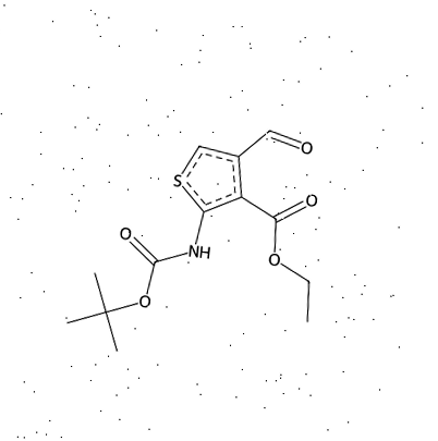 CCOC(=O)c1c(C=O)csc1NC(=O)OC(C)(C)C